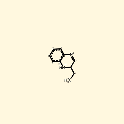 CCC1C=Nc2ccccc2N1